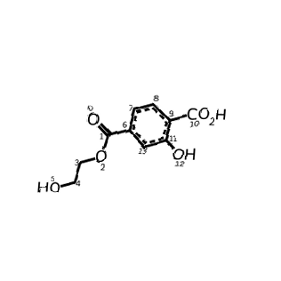 O=C(OCCO)c1ccc(C(=O)O)c(O)c1